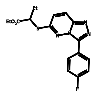 CCOC(=O)C(CC)Sc1ccc2nnc(-c3ccc(F)cc3)n2n1